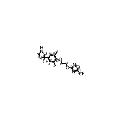 Cc1cc(C2(C(F)(F)F)N=CNO2)cc(C)c1OCCOc1noc(C(F)(F)F)n1